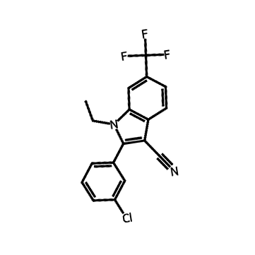 CCn1c(-c2cccc(Cl)c2)c(C#N)c2ccc(C(F)(F)F)cc21